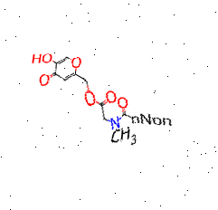 CCCCCCCCCC(=O)N(C)CC(=O)OCc1cc(=O)c(O)co1